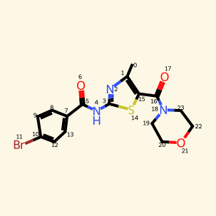 Cc1nc(NC(=O)c2ccc(Br)cc2)sc1C(=O)N1CCOCC1